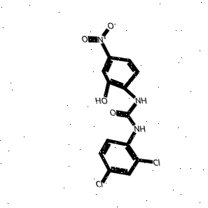 O=C(Nc1ccc([N+](=O)[O-])cc1O)Nc1ccc(Cl)cc1Cl